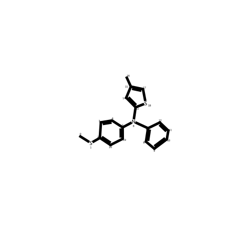 CSc1ccc(N(c2ccccc2)c2cc(C)cs2)cc1